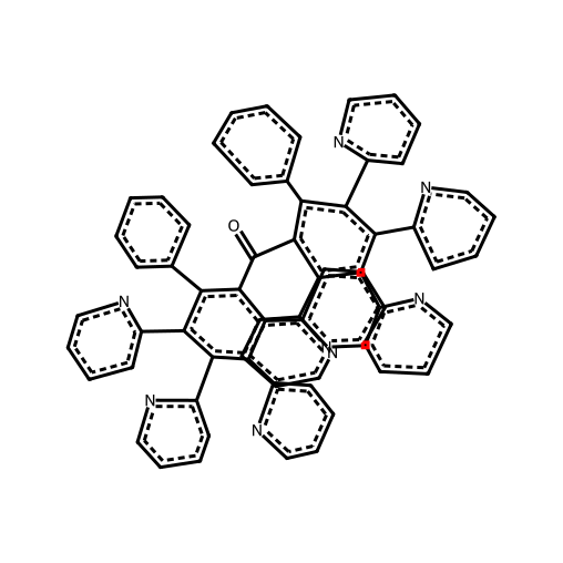 O=C(c1c(-c2ccccc2)c(-c2ccccn2)c(-c2ccccn2)c(-c2ccccn2)c1-c1ccccn1)c1c(-c2ccccc2)c(-c2ccccn2)c(-c2ccccn2)c(-c2ccccn2)c1-c1ccccn1